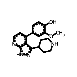 COc1cc(-c2ccnc3[nH]nc(C4CCNCC4)c23)ccc1O